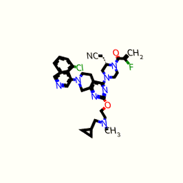 C=C(F)C(=O)N1CCN(c2nc(OCCN(C)CC3CC3)nc3c2CCN(c2cncc4cccc(Cl)c24)C3)C[C@@H]1CC#N